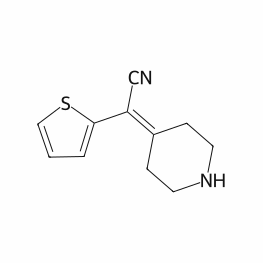 N#CC(=C1CCNCC1)c1cccs1